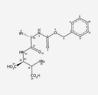 CC(C)[C@H](NC(=O)OCc1ccccc1)C(=O)N[C@H](C(=O)O)C(C(=O)O)C(C)(C)C